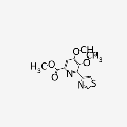 COC(=O)c1cc(OC)c(OC)c(-c2cscn2)n1